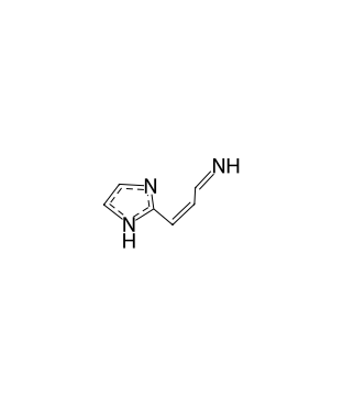 N=C/C=C\c1ncc[nH]1